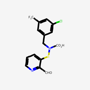 O=Cc1ncccc1SN(Cc1cc(Cl)cc(C(F)(F)F)c1)C(=O)O